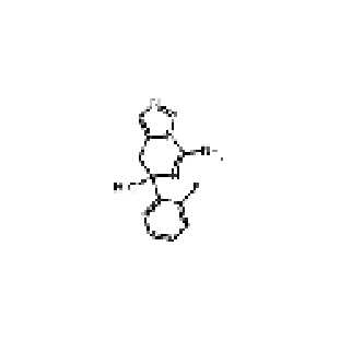 CC1(c2ccccc2F)Cc2cncn2C(N)=N1